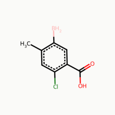 Bc1cc(C(=O)O)c(Cl)cc1C